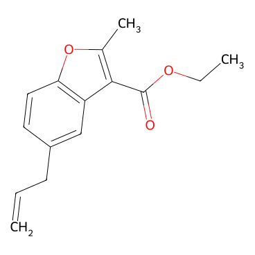 C=CCc1ccc2oc(C)c(C(=O)OCC)c2c1